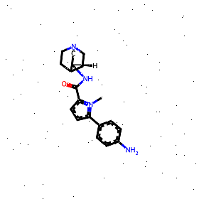 Cn1c(C(=O)N[C@H]2CN3CCC2CC3)ccc1-c1ccc(N)cc1